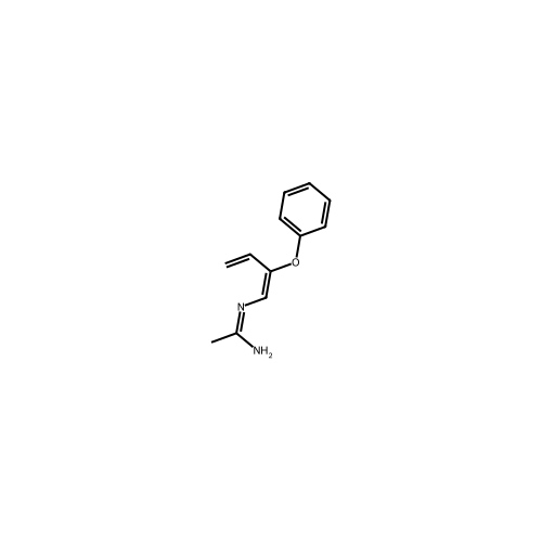 C=C/C(=C\N=C(\C)N)Oc1ccccc1